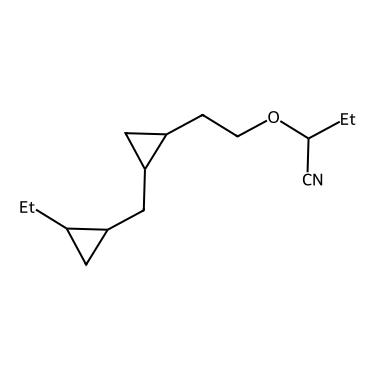 CCC(C#N)OCCC1CC1CC1CC1CC